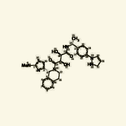 CNc1nc([C@H]2c3ccccc3CCN2C(=O)[C@H](O)[C@@H](O)C(=O)N[C@H](C)c2ccc(N3C=CCN3)cc2)cs1